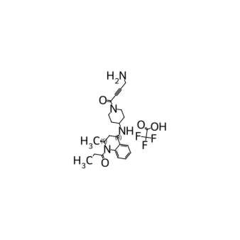 CCC(=O)N1c2ccccc2[C@H](NC2CCN(C(=O)C#CCN)CC2)C[C@@H]1C.O=C(O)C(F)(F)F